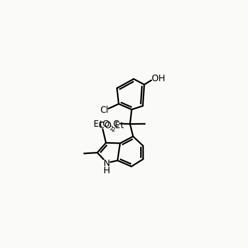 CCOC(=O)c1c(C)[nH]c2cccc(C(C)(C(=O)OCC)c3cc(O)ccc3Cl)c12